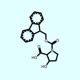 O=C(O)C1C(O)CCN1C(=O)OCC1c2ccccc2-c2ccccc21